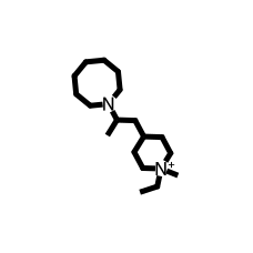 CC[N+]1(C)CCC(CC(C)N2CCCCCCC2)CC1